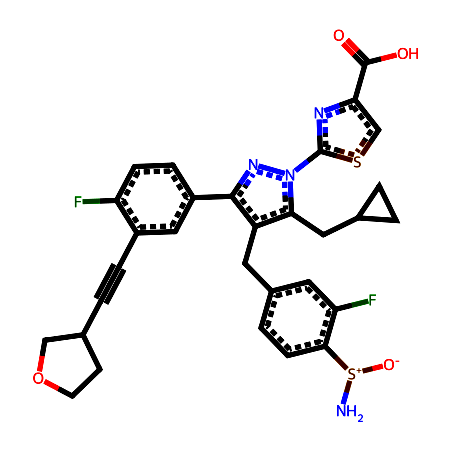 N[S+]([O-])c1ccc(Cc2c(-c3ccc(F)c(C#CC4CCOC4)c3)nn(-c3nc(C(=O)O)cs3)c2CC2CC2)cc1F